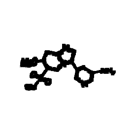 COc1cc2ncc(-c3cncc(N)c3)n2cc1S(=O)(=O)C(C)(C)C